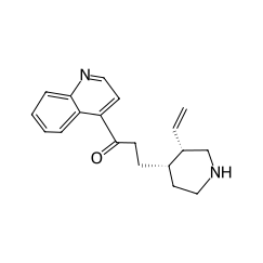 C=C[C@@H]1CNCC[C@@H]1CCC(=O)c1ccnc2ccccc12